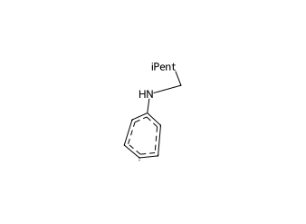 CCCC(C)CNc1cc[c]cc1